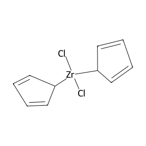 [Cl][Zr]([Cl])([CH]1C=CC=C1)[CH]1C=CC=C1